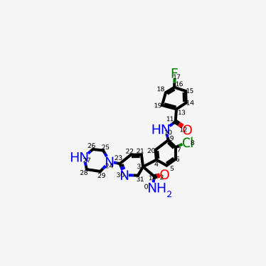 NC(=O)C1(c2ccc(Cl)c(NC(=O)c3ccc(F)cc3)c2)C=CC(N2CCNCC2)=NC1